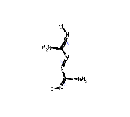 NC(=N/Cl)/N=N/C(N)=N/Cl